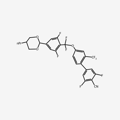 CCCC1COC(c2cc(F)c(C(F)(F)Oc3ccc(-c4cc(F)c(C#N)c(F)c4)c(C(F)(F)F)c3)c(F)c2)OC1